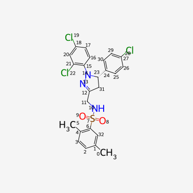 Cc1ccc(C)c(S(=O)(=O)NCC2=NN(c3ccc(Cl)cc3Cl)[C@H](c3ccc(Cl)cc3)C2)c1